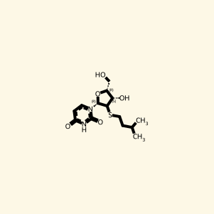 CC(C)CCSC1[C@@H](O)[C@@H](CO)O[C@H]1n1ccc(=O)[nH]c1=O